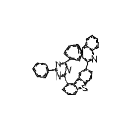 c1ccc(-c2nc(-c3ccccc3)nc(-c3cccc4sc5ccc(-c6cnc7ccccc7n6)cc5c34)n2)cc1